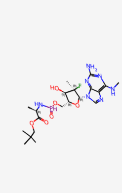 CNc1nc(N)nc2c1ncn2[C@@H]1O[C@H](CO[PH](=O)N[C@H](C)C(=O)OCC(C)(C)C)[C@@H](O)[C@@]1(C)F